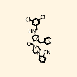 N#Cc1ccccc1N1CCN(C(=O)[C@@H]2C[C@H](NCc3cc(Cl)cc(Cl)c3)CN2Cc2ccccc2)CC1